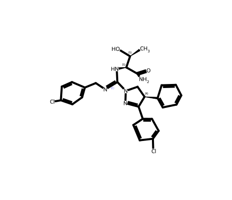 C[C@H](O)[C@H](N/C(=N\Cc1ccc(Cl)cc1)N1C[C@@H](c2ccccc2)C(c2ccc(Cl)cc2)=N1)C(N)=O